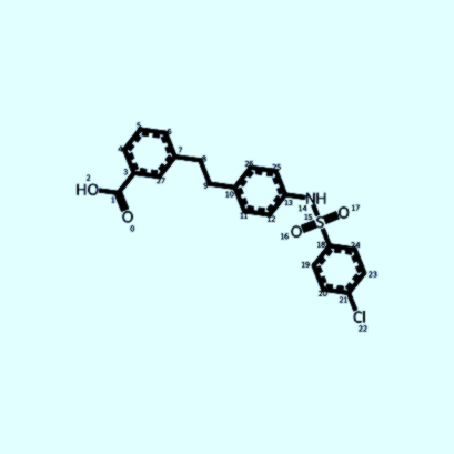 O=C(O)c1cccc(CCc2ccc(NS(=O)(=O)c3ccc(Cl)cc3)cc2)c1